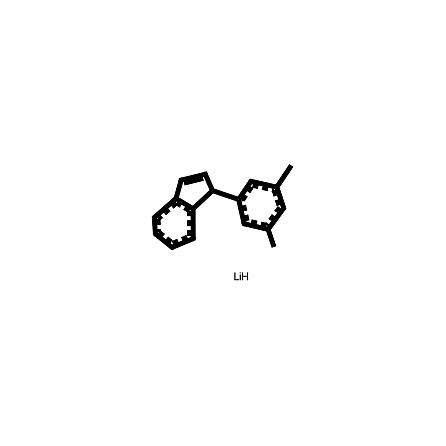 Cc1cc(C)cc(C2C=Cc3ccccc32)c1.[LiH]